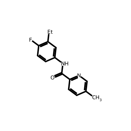 CCc1cc(NC(=O)c2ccc(C)cn2)ccc1F